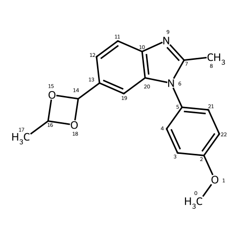 COc1ccc(-n2c(C)nc3ccc(C4OC(C)O4)cc32)cc1